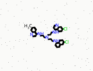 Cc1ccc2c(NCCCN(CCCNc3cccc4cc(Cl)ccc34)CCCNc3ccnc4cc(Cl)ccc34)ccnc2c1